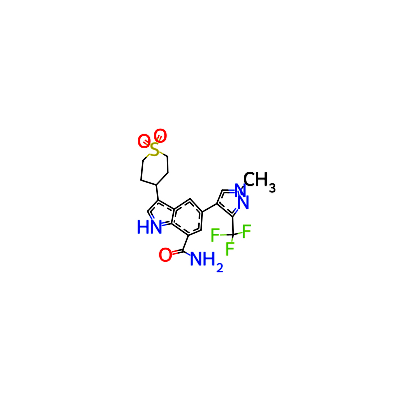 Cn1cc(-c2cc(C(N)=O)c3[nH]cc(C4CCS(=O)(=O)CC4)c3c2)c(C(F)(F)F)n1